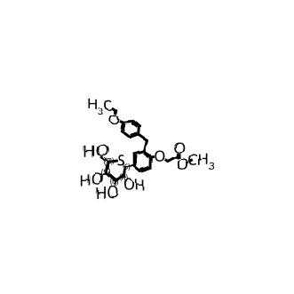 CCOc1ccc(Cc2cc([C@@H]3S[C@H](CO)[C@@H](O)[C@H](O)[C@H]3O)ccc2OCC(=O)OC)cc1